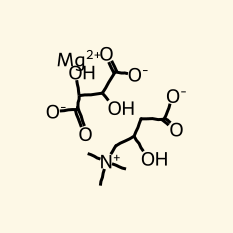 C[N+](C)(C)CC(O)CC(=O)[O-].O=C([O-])C(O)C(O)C(=O)[O-].[Mg+2]